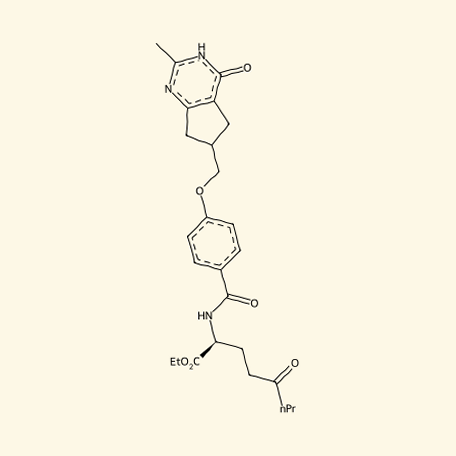 CCCC(=O)CC[C@H](NC(=O)c1ccc(OCC2Cc3nc(C)[nH]c(=O)c3C2)cc1)C(=O)OCC